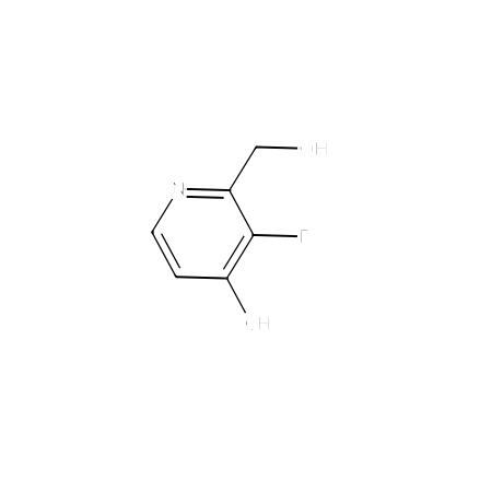 Cc1ccnc(CO)c1F